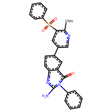 COc1ncc(-c2ccc3nc(N)n(-c4ccccc4)c(=O)c3c2)cc1S(=O)(=O)c1ccccc1